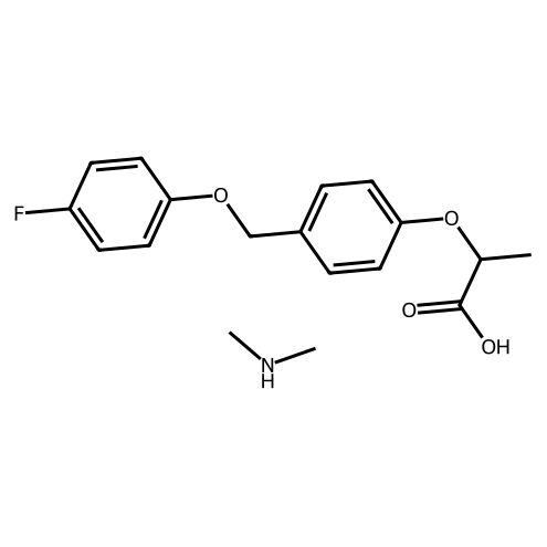 CC(Oc1ccc(COc2ccc(F)cc2)cc1)C(=O)O.CNC